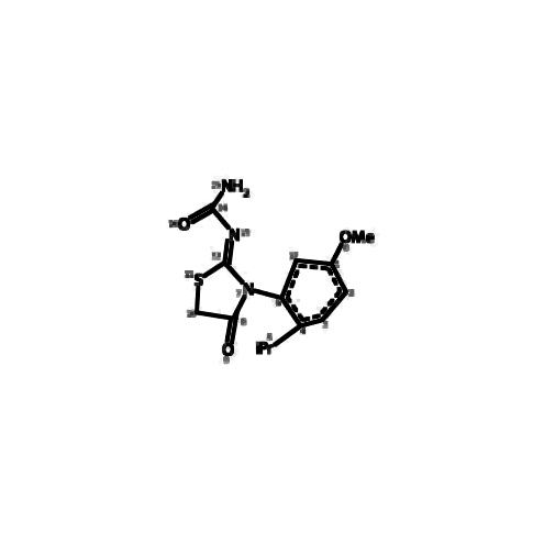 COc1ccc(C(C)C)c(N2C(=O)CSC2=NC(N)=O)c1